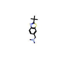 CN(C)Cc1ccc2nc(C(C)(C)C)sc2c1